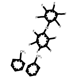 Cc1ccccc1.Cc1ccccc1.Fc1c(F)c(F)[c]([Ni][c]2c(F)c(F)c(F)c(F)c2F)c(F)c1F